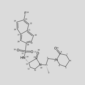 C[C@@H](CN1CCCCC1=O)N1CC[C@H](NS(=O)(=O)c2ccc3cc(F)ccc3c2)C1=O